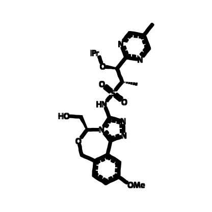 COc1ccc2c(c1)-c1nnc(NS(=O)(=O)[C@@H](C)[C@@H](OC(C)C)c3ncc(C)cn3)n1[C@H](CO)OC2